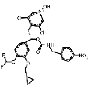 O=C(NCc1ccc([N+](=O)[O-])cc1)O[C@@H](Cc1c(Cl)c[n+](O)cc1Cl)c1ccc(OC(F)F)c(OCC2CC2)c1